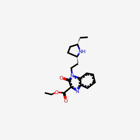 CCOC(=O)c1nc2ccccc2n(CC[C@@H]2CC[C@H](CC)N2)c1=O